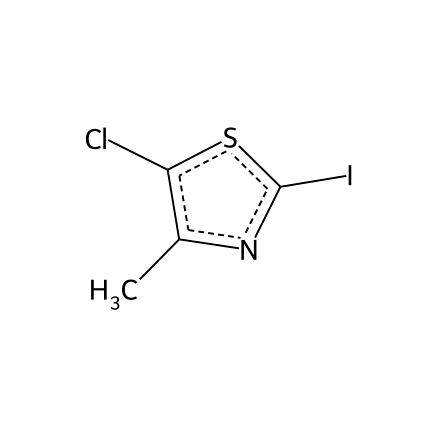 Cc1nc(I)sc1Cl